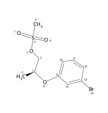 C[C@@H](COS(C)(=O)=O)Oc1cccc(Br)c1